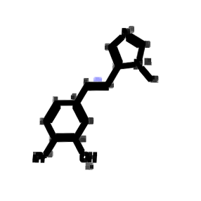 CC(C)c1ccc(/C=C/c2cncn2C)cc1O